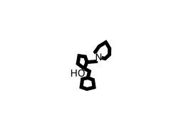 OC1(CC2CCCCC2)CCCC1CN1CCCCCC1